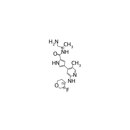 Cc1cnc(N[C@H]2CCOC[C@H]2F)cc1-c1c[nH]c(C(=O)N[C@@H](C)CN)c1